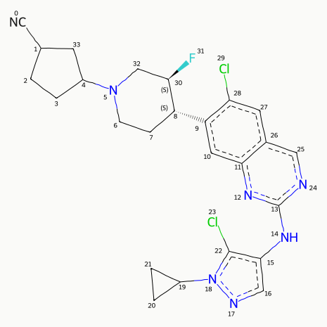 N#CC1CCC(N2CC[C@@H](c3cc4nc(Nc5cnn(C6CC6)c5Cl)ncc4cc3Cl)[C@H](F)C2)C1